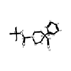 CC(C)(C)OC(=O)N1CCC(C=O)(c2ccccc2)CC1